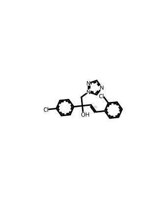 OC(/C=C/c1ccccc1Cl)(Cn1cncn1)c1ccc(Cl)cc1